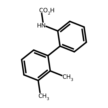 Cc1cccc(-c2ccccc2NC(=O)O)c1C